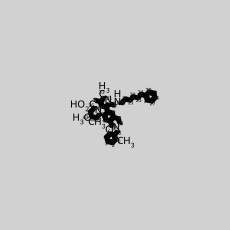 Cc1cccc(Cl)c1CN1CCc2cc(-c3c(CNCCCCCCc4ccccc4)nc(C)c(CC(=O)O)c3N3CCC(C)(C)CC3)ccc2C1